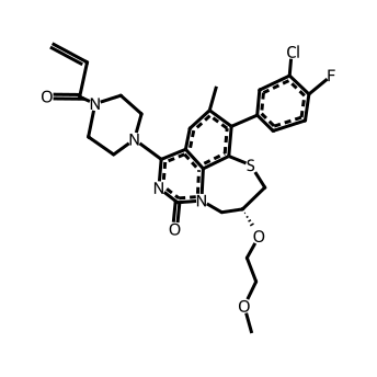 C=CC(=O)N1CCN(c2nc(=O)n3c4c(c(-c5ccc(F)c(Cl)c5)c(C)cc24)SC[C@H](OCCOC)C3)CC1